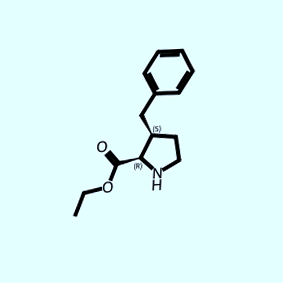 CCOC(=O)[C@@H]1NCC[C@@H]1Cc1ccccc1